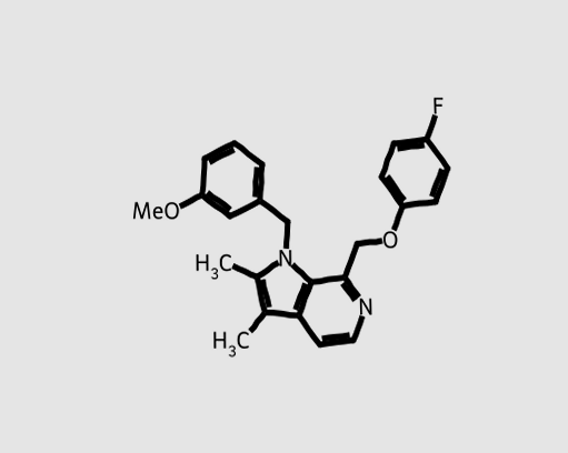 COc1cccc(Cn2c(C)c(C)c3ccnc(COc4ccc(F)cc4)c32)c1